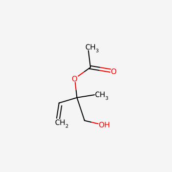 C=CC(C)(CO)OC(C)=O